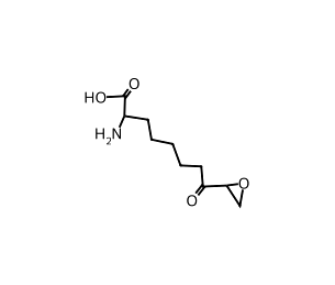 NC(CCCCCC(=O)C1CO1)C(=O)O